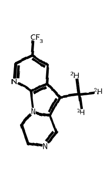 [2H]C([2H])([2H])c1c2n(c3ncc(C(F)(F)F)cc13)CCN=C2